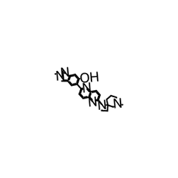 CN1CCCC2(CCN2c2ccc3nc(-c4cc5cn(C)nc5cc4O)ccc3n2)C1